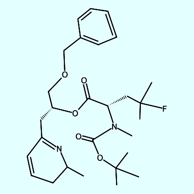 CC1CC=CC(C[C@H](COCc2ccccc2)OC(=O)[C@H](CC(C)(C)F)N(C)C(=O)OC(C)(C)C)=N1